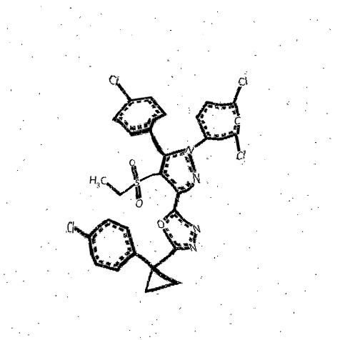 CCS(=O)(=O)c1c(-c2nnc(C3(c4ccc(Cl)cc4)CC3)o2)nn(-c2ccc(Cl)cc2Cl)c1-c1ccc(Cl)cc1